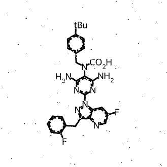 CC(C)(C)c1ccc(CN(C(=O)O)c2c(N)nc(-n3nc(Cc4ccccc4F)c4ncc(F)cc43)nc2N)cc1